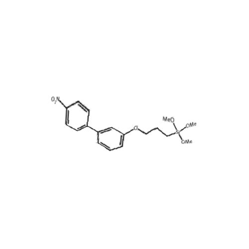 CO[Si](CCCOc1cc[c]c(-c2ccc([N+](=O)[O-])cc2)c1)(OC)OC